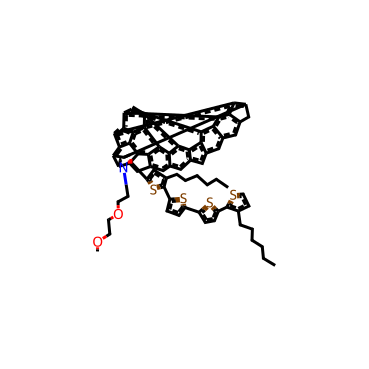 CCCCCCc1ccsc1-c1ccc(-c2ccc(-c3sc(C4N(CCOCCOC)CC5C6=c7c8c9c%10c(cc%11cc%12cc%13cc%14cc%15c%16c(c7c7c8c8c%10c%11c%10c%12c%13c%11c%14c%16c7c%11c%108)=C(C6)C%15)CC954)cc3CCCCCC)s2)s1